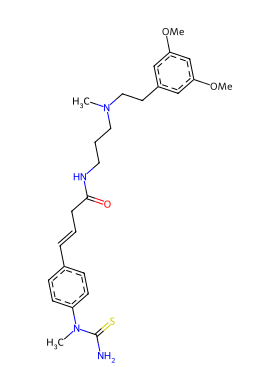 COc1cc(CCN(C)CCCNC(=O)C/C=C/c2ccc(N(C)C(N)=S)cc2)cc(OC)c1